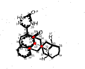 O=c1[nH]nc(-c2nc3ccccc3n([C@H]3C[C@H]4CCC[C@@H](C3)N4[C@@H]3C[C@@H]4CCCC[C@@H](C4)C3)c2=O)[nH]1